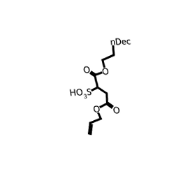 C=CCOC(=O)CC(C(=O)OCCCCCCCCCCCC)S(=O)(=O)O